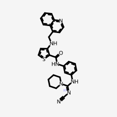 N#C/N=C(/Nc1cccc(NC(=O)c2sccc2NCc2ccnc3ccccc23)c1)N1CCCCC1